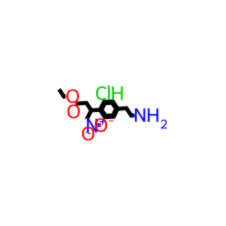 CCOC(=O)CC(C[N+](=O)[O-])c1ccc(CCN)cc1.Cl